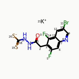 O=C(Cc1c(F)cc2ncc(Br)cc2c1F)NNC(=S)[S-].[K+]